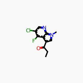 CCC(=O)c1cn(C)c2ncc(Cl)c(F)c12